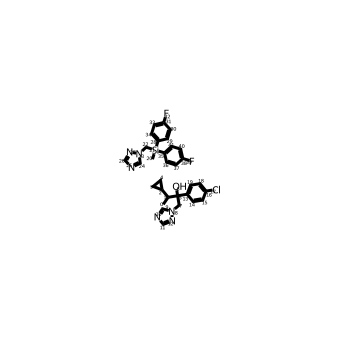 CC(C1CC1)C(O)(Cn1cncn1)c1ccc(Cl)cc1.C[Si](Cn1cncn1)(c1ccc(F)cc1)c1ccc(F)cc1